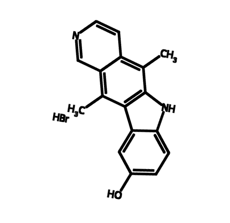 Br.Cc1c2ccncc2c(C)c2c1[nH]c1ccc(O)cc12